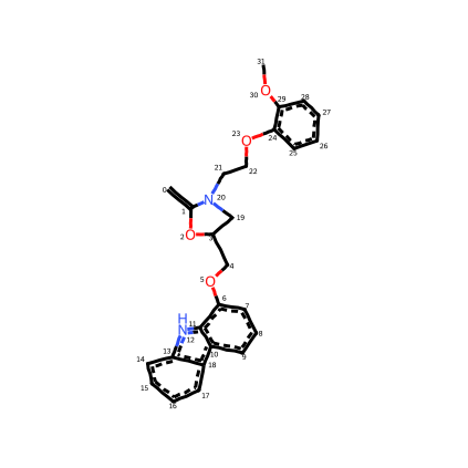 C=C1OC(COc2cccc3c2[nH]c2ccccc23)CN1CCOc1ccccc1OC